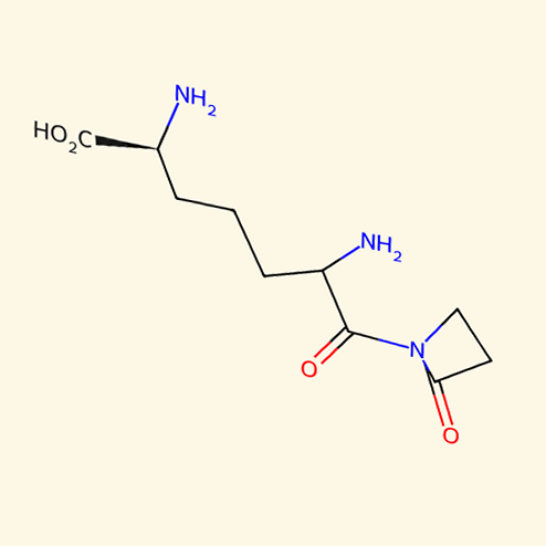 NC(CCC[C@H](N)C(=O)O)C(=O)N1CCC1=O